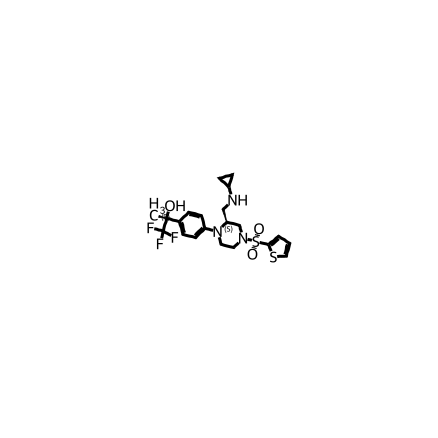 C[C@@](O)(c1ccc(N2CCN(S(=O)(=O)c3cccs3)C[C@@H]2CNC2CC2)cc1)C(F)(F)F